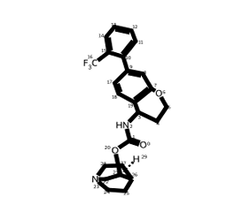 O=C(NC1CCOc2cc(-c3ccccc3C(F)(F)F)ccc21)O[C@@H]1CN2CCC1CC2